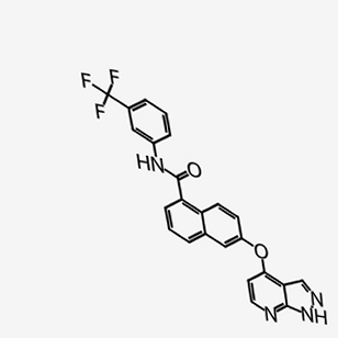 O=C(Nc1cccc(C(F)(F)F)c1)c1cccc2cc(Oc3ccnc4[nH]ncc34)ccc12